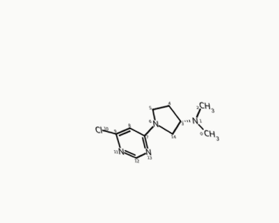 CN(C)[C@H]1CCN(c2cc(Cl)ncn2)C1